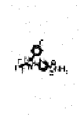 NS(=O)(=O)c1ccc(-n2nc(C(F)(F)F)nc2-c2ccc(Cl)cc2)nc1